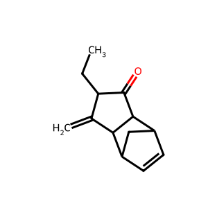 C=C1C(CC)C(=O)C2C3C=CC(C3)C12